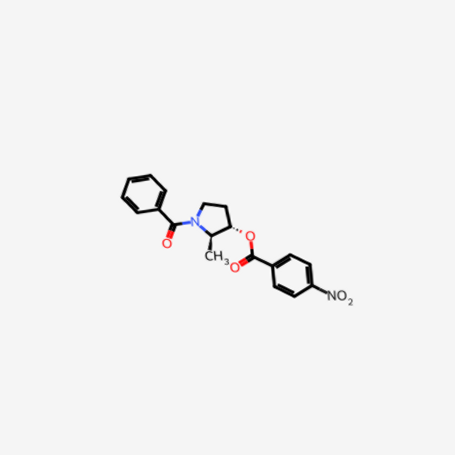 C[C@@H]1[C@@H](OC(=O)c2ccc([N+](=O)[O-])cc2)CCN1C(=O)c1ccccc1